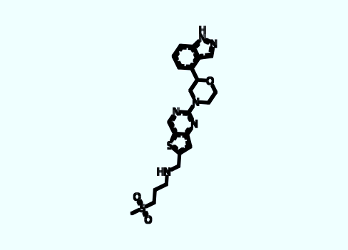 CS(=O)(=O)CCCNCc1cc2nc(N3CCOC(c4cccc5[nH]ncc45)C3)ncc2s1